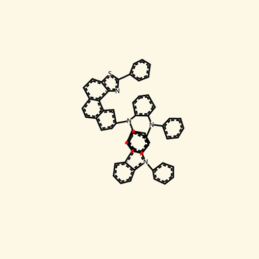 c1ccc(-c2nc3c(ccc4ccc5ccc(N(c6ccc7c(c6)c6ccccc6n7-c6ccccc6)c6ccccc6N(c6ccccc6)c6ccccc6)cc5c43)s2)cc1